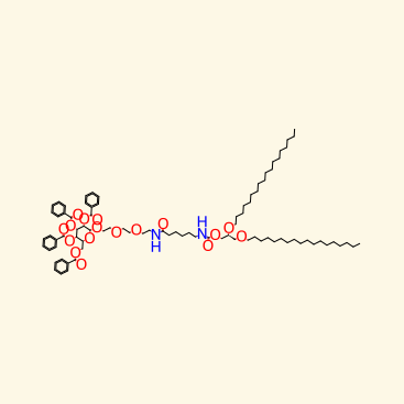 CCCCCCCCCCCCCCCCCCOC[C@@H](COC(=O)NCCCCCC(=O)NCCOCCOCCO[C@H]1OC(COC(=O)c2ccccc2)[C@@H](OC(=O)c2ccccc2)C(OC(=O)c2ccccc2)C1OC(=O)c1ccccc1)OCCCCCCCCCCCCCCCCCC